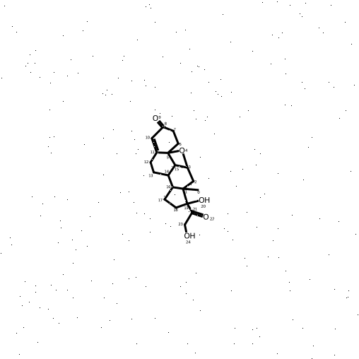 CC12CC3OC45CCC(=O)C=C4CCC(C35)C1CCC2(O)C(=O)CO